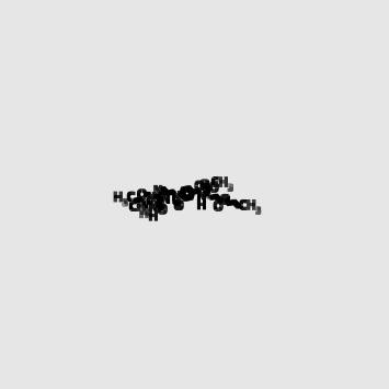 CCCCOC(=O)CC[C@H](NC(=O)c1ccc(N(C=O)Cc2cnc3nc(NC(=O)C(C)C)[nH]c(=O)c3n2)cc1)C(=O)OC